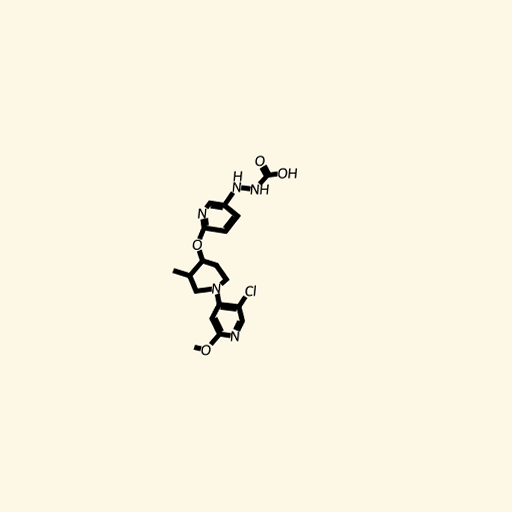 COc1cc(N2CCC(Oc3ccc(NNC(=O)O)cn3)C(C)C2)c(Cl)cn1